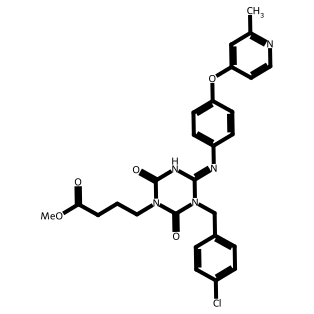 COC(=O)CCCn1c(=O)[nH]/c(=N\c2ccc(Oc3ccnc(C)c3)cc2)n(Cc2ccc(Cl)cc2)c1=O